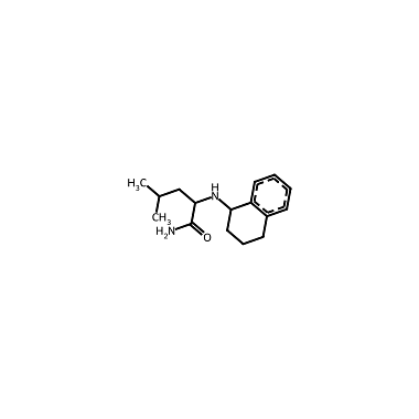 CC(C)CC(NC1CCCc2ccccc21)C(N)=O